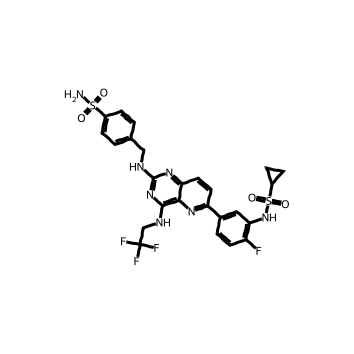 NS(=O)(=O)c1ccc(CNc2nc(NCC(F)(F)F)c3nc(-c4ccc(F)c(NS(=O)(=O)C5CC5)c4)ccc3n2)cc1